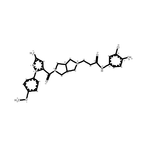 COc1ccc(-n2nc(C)cc2C(=O)N2CC3CN(CCC(=O)Nc4ccc(C)c(Cl)c4)CC3C2)cc1